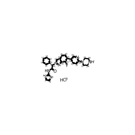 Cl.O=C(Nc1nccs1)[C@@H](c1ccccc1)n1cc2ccc(-c3ccc(N4CCNCC4)nc3)c(F)c2n1